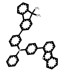 CC1(C)c2ccccc2-c2cc(-c3cccc(N(c4ccccc4)c4ccc(-c5cccc6c5sc5ccccc56)cc4)c3)ccc21